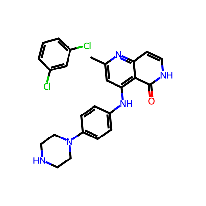 Cc1cc(Nc2ccc(N3CCNCC3)cc2)c2c(=O)[nH]ccc2n1.Clc1cccc(Cl)c1